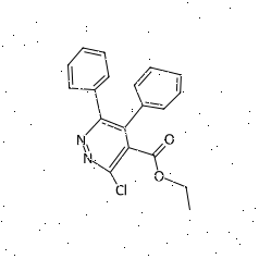 CCOC(=O)c1c(Cl)nnc(-c2ccccc2)c1-c1ccccc1